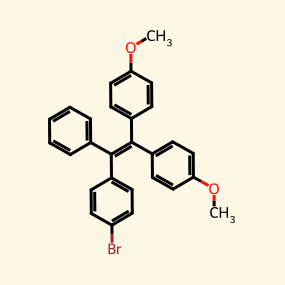 COc1ccc(C(=C(c2ccccc2)c2ccc(Br)cc2)c2ccc(OC)cc2)cc1